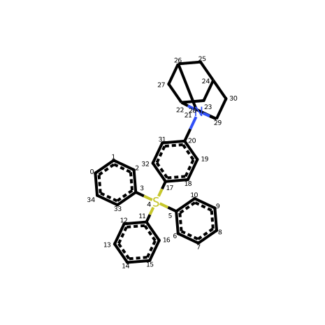 c1ccc(S(c2ccccc2)(c2ccccc2)c2ccc(N3C4CC5CC(C4)CC3C5)cc2)cc1